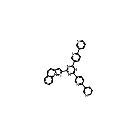 c1cncc(-c2ccc(-c3nc(-c4ccc(-c5cccnc5)nc4)nc(-c4cc5ccc6ccccc6n5n4)n3)cn2)c1